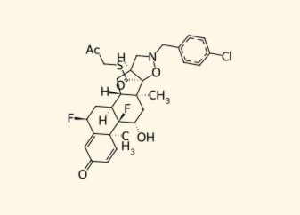 CC(=O)CSC(=O)[C@@]12ON(Cc3ccc(Cl)cc3)C[C@@H]1C[C@H]1[C@@H]3C[C@H](F)C4=CC(=O)C=C[C@]4(C)[C@@]3(F)[C@@H](O)C[C@@]12C